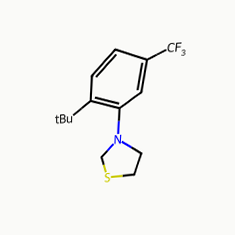 CC(C)(C)c1ccc(C(F)(F)F)cc1N1CCSC1